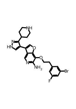 Nc1ncc2c(-c3c[nH]nc3C3CCNCC3)coc2c1OCCc1cc(F)cc(Br)c1